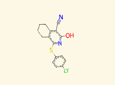 N#Cc1c(O)nc(Sc2ccc(Cl)cc2)c2c1CCCC2